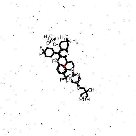 CC1(C)Cc2nc(C3CCN(c4ncc(OCC(C)(CO)CO)cn4)CC3)c([C@@H](F)c3ccc(C(F)(F)F)cc3)c(C3CCC(F)(F)CC3)c2[C@@H](OS(C)(=O)=O)C1